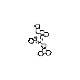 NC(NC(/N=C/c1c2ccccc2cc2c1ccc1ccccc12)c1ccc2c3ccccc3c3ccccc3c2c1)c1ccccc1